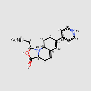 CC(=O)NC[C@@H]1OC(=O)C2CC=C3C=C(c4ccncc4)CCC3N21